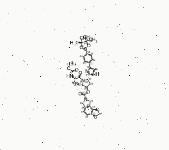 CC(C)(C)OC(=O)NC(C(=O)N1C[C@H](OC(=O)N2Cc3ccc4c(c3C2)OCO4)C[C@H]1c1nc(-c2ccc(B3OC(C)(C)C(C)(C)O3)cc2)c[nH]1)C(C)(C)C